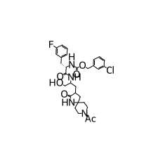 CC(=O)N1CCC2(CC1)CC(CC(CO)NC(=O)[C@H](Cc1cccc(F)c1)NC(=O)OCc1cccc(Cl)c1)C(=O)N2